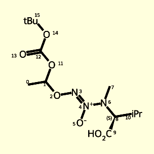 CC(ON=[N+]([O-])N(C)[C@H](C(=O)O)C(C)C)OC(=O)OC(C)(C)C